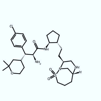 CC1(C)CC([C@H](c2ccc(Cl)cc2)[C@H](N)C(=O)N[C@H]2CCC[C@@H]2CC[C@H]2CN[C@@H]3CCCS(=O)(=O)N2C3)CCO1